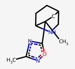 Cc1noc(C2(C)CC3CCC2NC3)n1